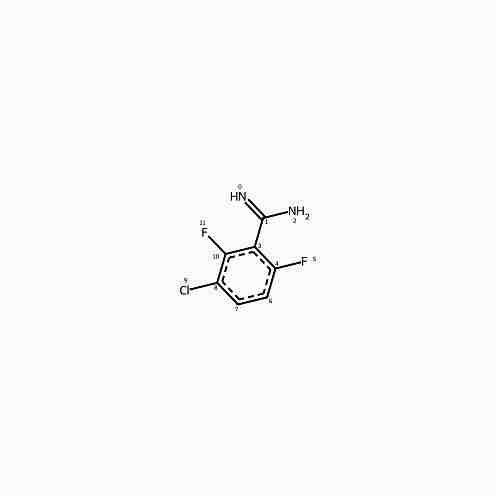 N=C(N)c1c(F)ccc(Cl)c1F